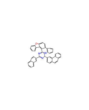 c1ccc(-c2ccc3oc4ccccc4c3c2C2=NC(c3ccc4ccccc4c3)=NC(c3ccc4ccc5ccccc5c4c3)N2)cc1